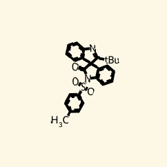 Cc1ccc(S(=O)(=O)N2C(=O)C3(C(C(C)(C)C)=Nc4ccccc43)c3ccccc32)cc1